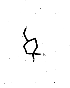 CCCCC1(F)CCC(CI)CC1